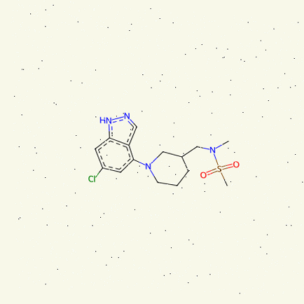 CN(CC1CCCN(c2cc(Cl)cc3[nH]ncc23)C1)S(C)(=O)=O